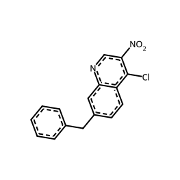 O=[N+]([O-])c1cnc2cc(Cc3ccccc3)ccc2c1Cl